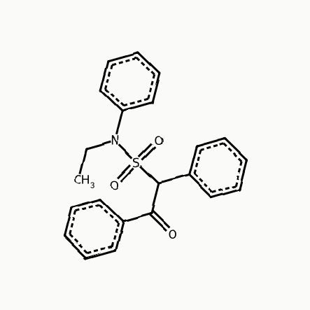 CCN(c1ccccc1)S(=O)(=O)C(C(=O)c1ccccc1)c1ccccc1